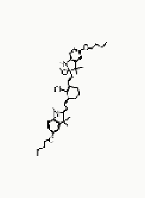 CCCCOc1ccc2c(c1)C(C)(C)/C(=C/C=C1\CCCC(/C=C/C3(OC)N(C)c4ccc(OCCCC)cc4C3(C)C)=C1Cl)N2C